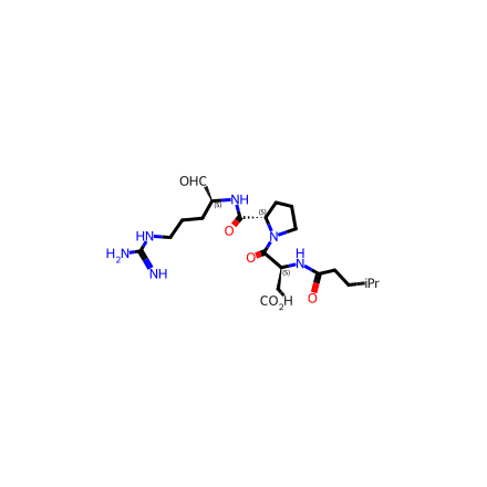 CC(C)CCC(=O)N[C@@H](CC(=O)O)C(=O)N1CCC[C@H]1C(=O)N[C@H](C=O)CCCNC(=N)N